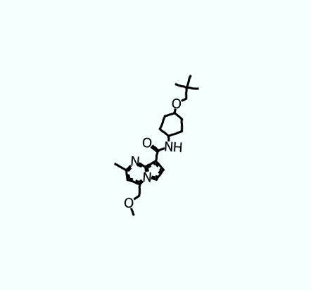 COCc1cc(C)nc2c(C(=O)NC3CCC(OCC(C)(C)C)CC3)ccn12